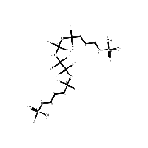 O=P(O)(O)OCCCC(F)(F)OC(F)(F)OC(F)(F)C(F)(F)OC(F)(F)CCCOP(=O)(O)O